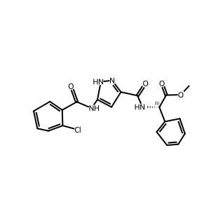 COC(=O)[C@@H](NC(=O)c1cc(NC(=O)c2ccccc2Cl)[nH]n1)c1ccccc1